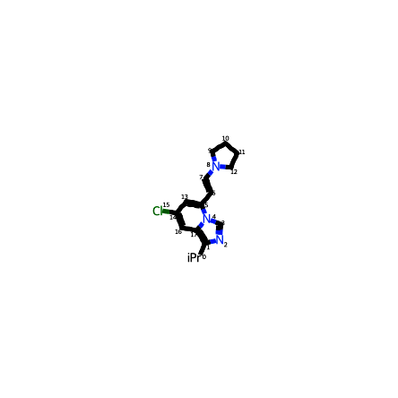 CC(C)c1ncn2c(C=CN3CCCC3)cc(Cl)cc12